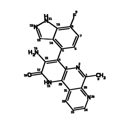 Cc1nc2c(-c3ccc(F)c4[nH]ncc34)c(N)c(=O)[nH]c2c2cccnc12